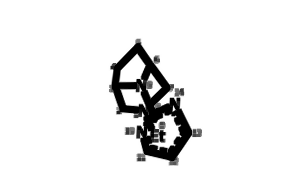 CCN1CC2CCC(C1)N2c1ncccn1